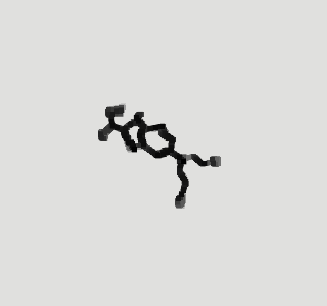 O=C(O)c1nc2cc(N(CCCl)CCCl)ccc2s1